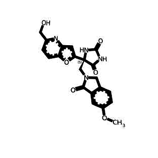 COc1ccc2c(c1)C(=O)N(C[C@@]1(c3cc4nc(CO)ccc4o3)NC(=O)NC1=O)C2